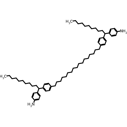 CCCCCCCCCCC(c1ccc(N)cc1)c1ccc(CCCCCCCCCCCCCCCCCc2ccc(C(CCCCCCCCCC)c3ccc(N)cc3)cc2)cc1